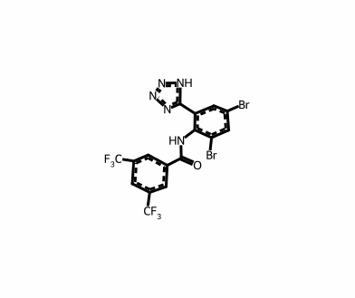 O=C(Nc1c(Br)cc(Br)cc1-c1nnn[nH]1)c1cc(C(F)(F)F)cc(C(F)(F)F)c1